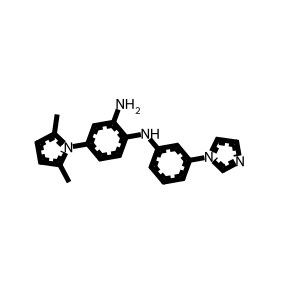 Cc1ccc(C)n1-c1ccc(Nc2cccc(-n3ccnc3)c2)c(N)c1